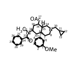 COc1cccc([C@@]23CCN(CC4CC4)C[C@H]2C(OC(C)=O)C[C@H](N(C)C(=O)c2ccccc2)C3)c1